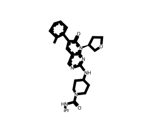 Cc1ccccc1-c1cc2cnc(NC3CCN(C(=O)NC(C)C)CC3)nc2n([C@H]2CCOC2)c1=O